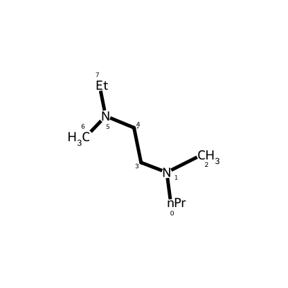 CCCN(C)C[CH]N(C)CC